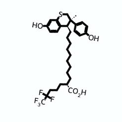 C[C@@]1(c2ccc(O)cc2)CSc2cc(O)ccc2[C@@H]1CCCCCCCCC[C@@H](CCCC(F)(F)C(F)(F)F)C(=O)O